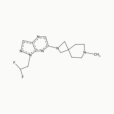 CN1CCC2(CC1)CN(c1cnc3cnn(CC(F)F)c3n1)C2